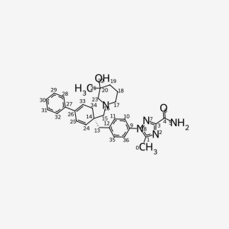 Cc1nc(C(N)=O)nn1-c1ccc(C[C@]2(CN3CCCC(C)(O)C3)C=CC(c3ccccc3)=CC2)cc1